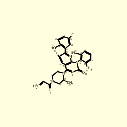 C=CC(=O)N1CCN(c2nc(=O)n(-c3c(C)cccc3C(C)C)c3nc(-c4cc(Cl)ccc4O)c(F)cc23)[C@@H](C)C1